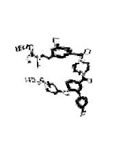 CC(C)(C)OC(=O)NCCc1cc(F)cc(C(=O)N2CCN(C(=O)c3ccc(OC4CCN(C(=O)O)C4)c(-c4ccc(F)cc4)c3)CC2)c1